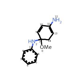 COC1(Nc2ccccc2)C=CC(N)=CC1